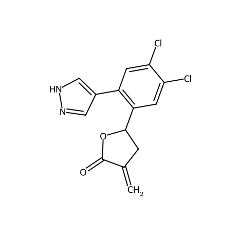 C=C1CC(c2cc(Cl)c(Cl)cc2-c2cn[nH]c2)OC1=O